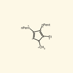 CCCCCC1=[C]C(C)C(CC)=C1CCCCC